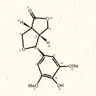 COc1cc([C@H]2OC[C@@H]3C(=O)OC[C@@H]32)cc(OC)c1O